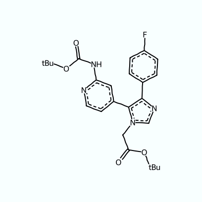 CC(C)(C)OC(=O)Cn1cnc(-c2ccc(F)cc2)c1-c1ccnc(NC(=O)OC(C)(C)C)c1